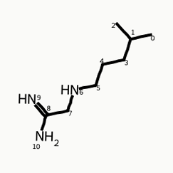 CC(C)CCCNCC(=N)N